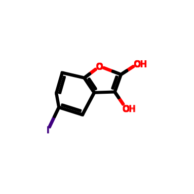 Oc1oc2ccc(I)cc2c1O